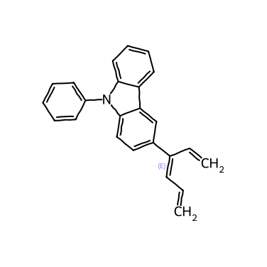 C=C/C=C(\C=C)c1ccc2c(c1)c1ccccc1n2-c1ccccc1